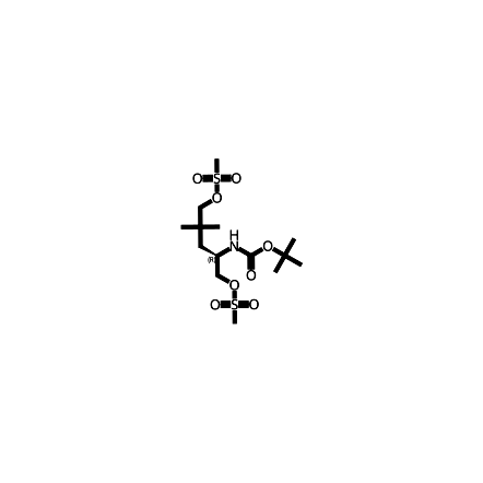 CC(C)(COS(C)(=O)=O)C[C@H](COS(C)(=O)=O)NC(=O)OC(C)(C)C